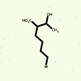 CC(O)C(CCCCBr)C(=O)O